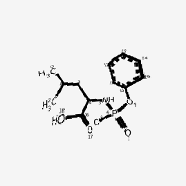 CC(C)CC(NP(=O)(Cl)Oc1ccccc1)C(=O)O